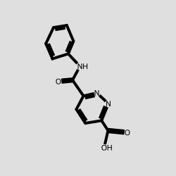 O=C(O)c1ccc(C(=O)Nc2ccccc2)nn1